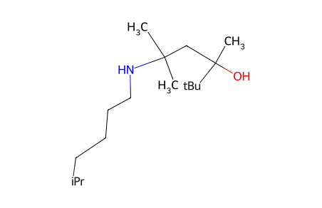 CC(C)CCCCNC(C)(C)CC(C)(O)C(C)(C)C